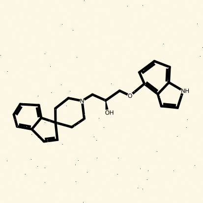 O[C@H](COc1cccc2[nH]ccc12)CN1CCC2(C=Cc3ccccc32)CC1